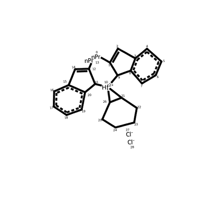 CCCC1=Cc2ccccc2[CH]1[Hf+2]1([CH]2C(CCC)=Cc3ccccc32)[CH]2CCCC[CH]21.[Cl-].[Cl-]